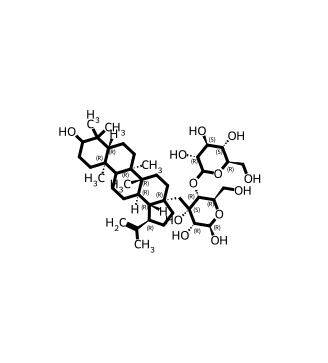 C=C(C)[C@@H]1CC[C@]2(C[C@@]3(O)[C@H](OC4O[C@H](CO)[C@@H](O)[C@H](O)[C@H]4O)[C@@H](CO)O[C@@H](O)[C@@H]3O)CC[C@]3(C)[C@H](CCC4[C@@]5(C)CCC(O)C(C)(C)[C@@H]5CC[C@]43C)[C@@H]12